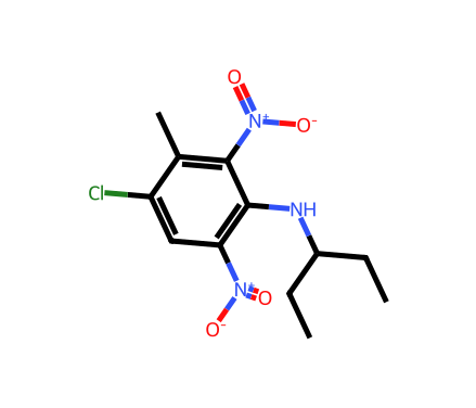 CCC(CC)Nc1c([N+](=O)[O-])cc(Cl)c(C)c1[N+](=O)[O-]